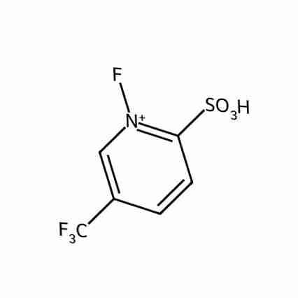 O=S(=O)(O)c1ccc(C(F)(F)F)c[n+]1F